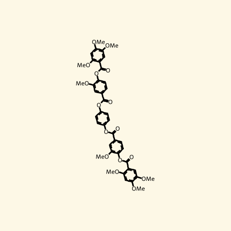 COc1cc(OC)c(C(=O)Oc2ccc(C(=O)Oc3ccc(OC(=O)c4ccc(OC(=O)c5cc(OC)c(OC)cc5OC)c(OC)c4)cc3)cc2OC)cc1OC